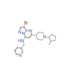 CC1CCCC1N1CCC(c2cc(NCc3cccnc3)n3ncc(Br)c3n2)CC1